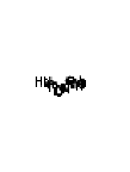 Cc1cccnc1[C@@H]1CCC[C@H](c2cn3c(N4CCNCC4)cccc3n2)N1C